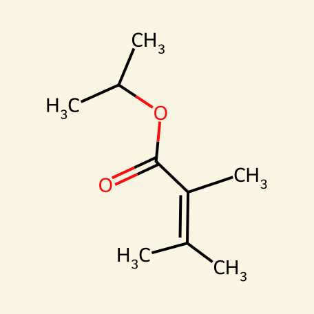 CC(C)=C(C)C(=O)OC(C)C